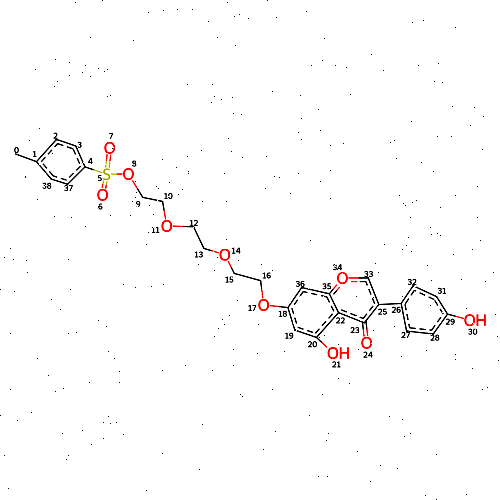 Cc1ccc(S(=O)(=O)OCCOCCOCCOc2cc(O)c3c(=O)c(-c4ccc(O)cc4)coc3c2)cc1